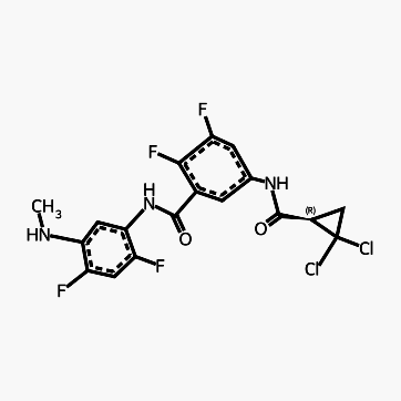 CNc1cc(NC(=O)c2cc(NC(=O)[C@H]3CC3(Cl)Cl)cc(F)c2F)c(F)cc1F